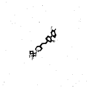 Cc1ccc(-c2ccc(CCC3CCN(CC4(C(F)(F)F)CCC4)CC3)cc2F)cc1F